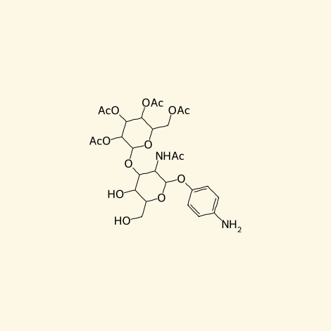 CC(=O)NC1C(Oc2ccc(N)cc2)OC(CO)C(O)C1OC1OC(COC(C)=O)C(OC(C)=O)C(OC(C)=O)C1OC(C)=O